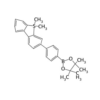 CC1(C)OB(c2ccc(-c3ccc4c(c3)S(C)(C)c3ccccc3-4)cc2)OC1(C)C